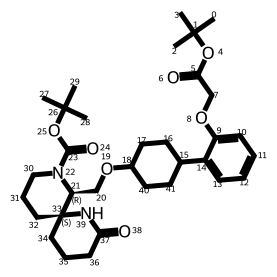 CC(C)(C)OC(=O)COc1ccccc1C1CCC(OC[C@@H]2N(C(=O)OC(C)(C)C)CCC[C@@]23CCCC(=O)N3)CC1